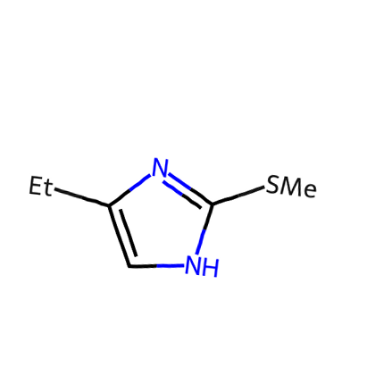 CCc1c[nH]c(SC)n1